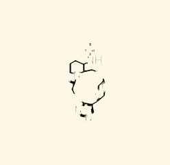 CS(=O)(=O)NC1CCCN2C(=O)COc3ncncc3C3CCC(CC3)OCC12